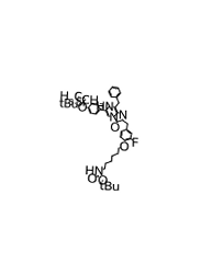 CC(C)(C)OC(=O)NCCCCCCOc1ccc(Cc2nc3c(Cc4ccccc4)[nH]c(-c4ccc(O[Si](C)(C)C(C)(C)C)cc4)cn-3c2=O)cc1F